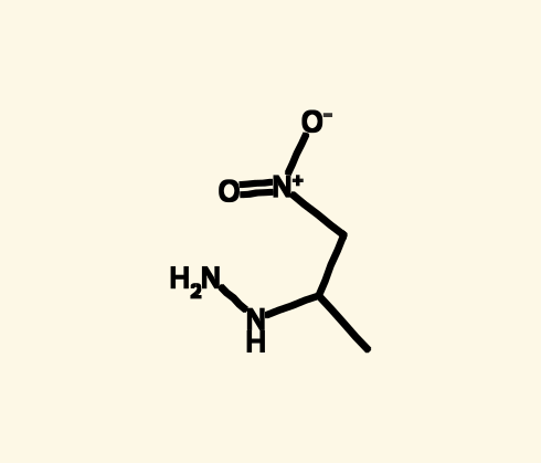 CC(C[N+](=O)[O-])NN